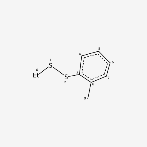 CCSSc1ccccc1C